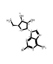 NC[C@@H]1O[C@@H](n2cnc3c(N)nc(Br)nc32)[C@H](O)[C@@H]1O